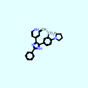 C=C/C=C(\C=C/N)c1nc(-c2ccccc2)[nH]c1-c1ccc(N2CCCC2)c(C(=O)O)c1